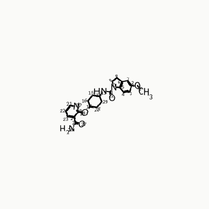 COc1ccc2c(c1)CCN2C(=O)NC1CCC(Oc2ncccc2C(N)=O)CC1